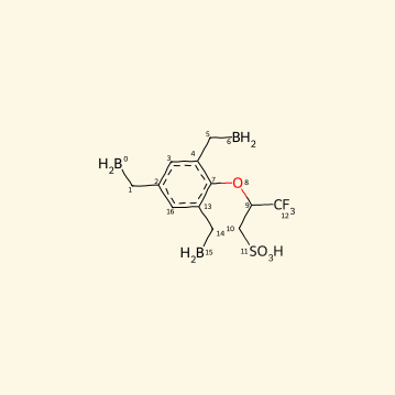 BCc1cc(CB)c(OC(CS(=O)(=O)O)C(F)(F)F)c(CB)c1